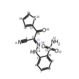 N#C/C(=N\Nc1ccccc1S(N)(=O)=O)C(=O)c1cccs1